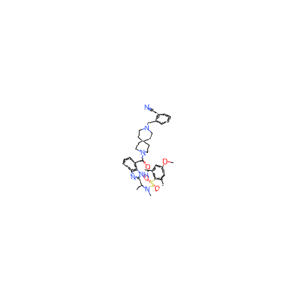 COc1cc(C)c(S(=O)(=O)N(C)C(C)c2nc3cccc(C(=O)N4CCC5(CCN(Cc6ccccc6C#N)CC5)CC4)c3[nH]2)c(C)c1